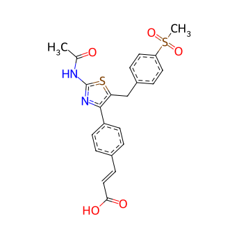 CC(=O)Nc1nc(-c2ccc(C=CC(=O)O)cc2)c(Cc2ccc(S(C)(=O)=O)cc2)s1